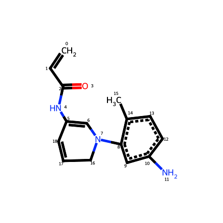 C=CC(=O)NC1=CN(c2cc(N)ccc2C)CC=C1